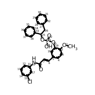 COc1ccc(C=CC(=O)Nc2cccc(Cl)c2)cc1OP(=O)(O)OC(Cc1ccccc1)c1ccccc1